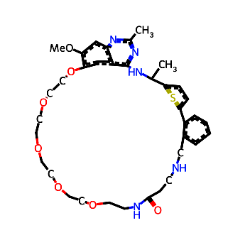 COc1cc2nc(C)nc3c2cc1OCCOCCOCCOCCOCCNC(=O)CCNCc1ccccc1-c1ccc(s1)C(C)N3